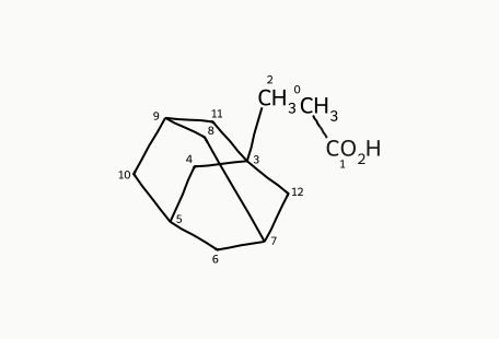 CC(=O)O.CC12CC3CC(CC(C3)C1)C2